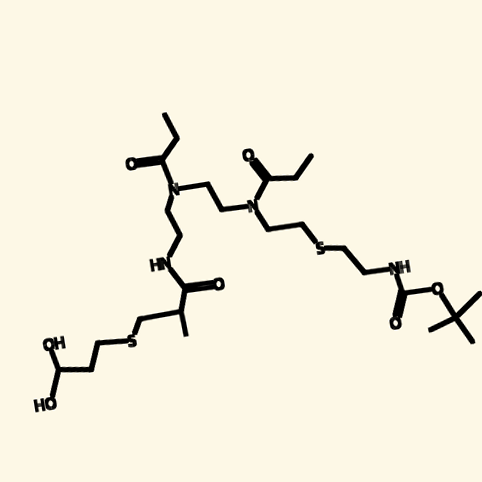 CCC(=O)N(CCNC(=O)C(C)CSCCC(O)O)CCN(CCSCCNC(=O)OC(C)(C)C)C(=O)CC